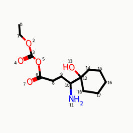 CCOC(=O)OC(=O)CCC(N)C1(O)CCCCC1